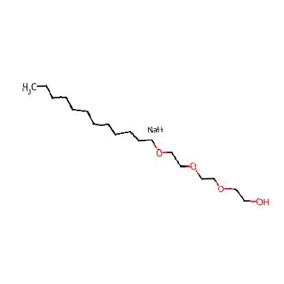 CCCCCCCCCCCCOCCOCCOCCO.[NaH]